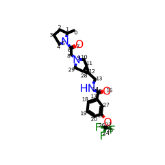 CC1CCCN1C(=O)CN1CC2C(CNC(=O)c3cccc(OC(F)(F)F)c3)C2C1